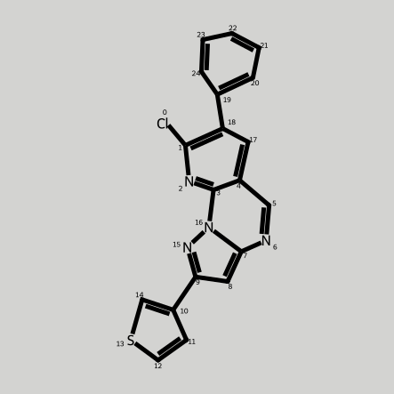 Clc1nc2c(cnc3cc(-c4ccsc4)nn32)cc1-c1ccccc1